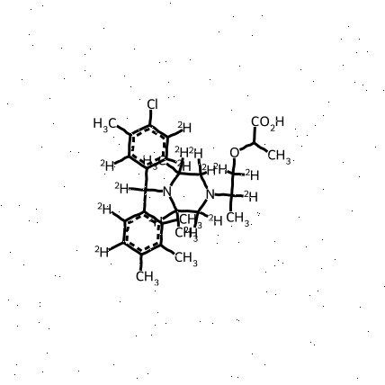 [2H]c1c([2H])c(C([2H])(c2c([2H])c([2H])c(Cl)c(C)c2[2H])N2C([2H])(C)C([2H])([2H])N(C([2H])(C)C([2H])([2H])OC(C)C(=O)O)C([2H])([2H])C2([2H])C)c(C)c(C)c1C